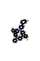 CC1(C)c2ccccc2-c2ccc(N(c3ccc(C4CCCCC4)cc3)c3ccc(C4(c5ccc(N(c6ccccc6)c6ccccc6)cc5)CCCC4)cc3)cc21